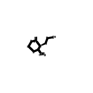 CC1CCCN[C@@H]1CCI